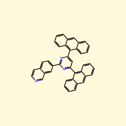 c1ccc2c(-c3cc(-c4c5ccccc5cc5ccccc45)nc(-c4ccc5ccncc5c4)n3)c3ccccc3cc2c1